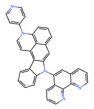 C1=CN(c2ccncc2)c2cccc3cc4c(c1c23)c1ccccc1n4-c1cc2cccnc2c2ncccc12